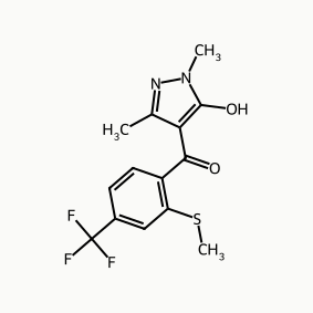 CSc1cc(C(F)(F)F)ccc1C(=O)c1c(C)nn(C)c1O